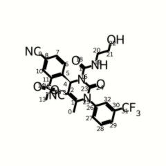 CC1=C(C#N)[C@@H](c2ccc(C#N)cc2S(C)(=O)=O)N(C(=O)NCCO)C(=O)N1c1cccc(C(F)(F)F)c1